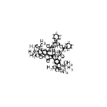 CC(C)N1c2cc(NC(=O)NCC(=O)N3CCCCC3)c(C3=C([O-])/C(=c4/cc5c(cc4NC(=O)NCC(=O)N4CCCCC4)=[N+](C(C)C)C(C)C5(C)C)C3=O)cc2C(C)(C)C1C